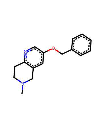 CN1CCc2ncc(OCc3ccccc3)cc2C1